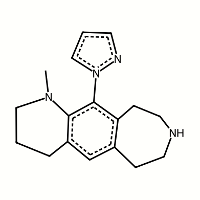 CN1CCCc2cc3c(c(-n4cccn4)c21)CCNCC3